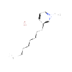 CCCCCCCCc1ccc[n+](C)c1.[Br-]